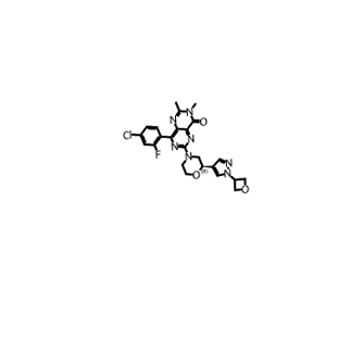 Cc1nc2c(-c3ccc(Cl)cc3F)nc(N3CCO[C@H](c4cnn(C5COC5)c4)C3)nc2c(=O)n1C